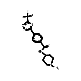 CN1CCC(NC(=O)c2ccc(-c3noc(C(F)(F)F)n3)cc2)CC1